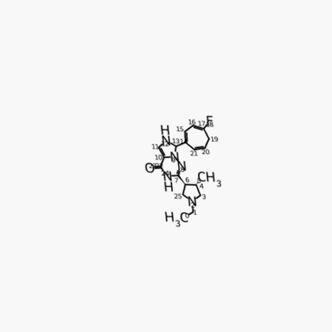 CCN1C[C@@H](C)[C@H](C2=NN3C(=CNC3C3=CC=C(F)CC=C3)C(=O)N2)C1